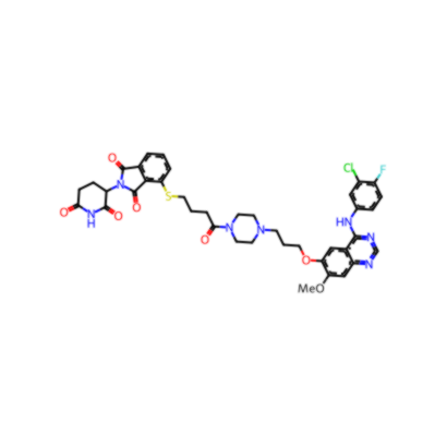 COc1cc2ncnc(Nc3ccc(F)c(Cl)c3)c2cc1OCCCN1CCN(C(=O)CCCSc2cccc3c2C(=O)N(C2CCC(=O)NC2=O)C3=O)CC1